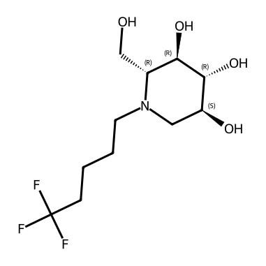 OC[C@@H]1[C@@H](O)[C@H](O)[C@@H](O)CN1CCCCC(F)(F)F